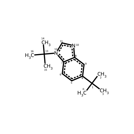 CC(C)(C)c1ccc2c(c1)ncn2C(C)(C)C